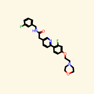 O=C(Cc1ccc(-c2ccc(OCCN3CCOCC3)cc2F)nc1)NCc1cccc(F)c1